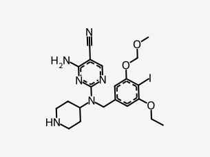 CCOc1cc(CN(c2ncc(C#N)c(N)n2)C2CCNCC2)cc(OCOC)c1I